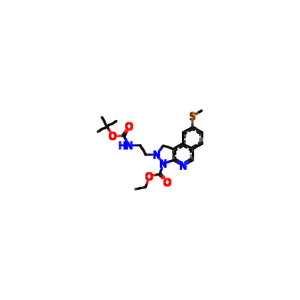 CCOC(=O)N1c2ncc3ccc(SC)cc3c2CN1CCNC(=O)OC(C)(C)C